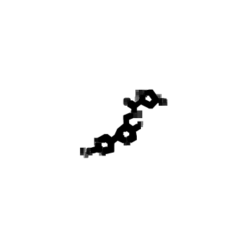 CC[C@H]1CN[C@H](C(=O)NCc2cc(-c3cnc(C(F)(F)F)nc3)ncc2F)C1